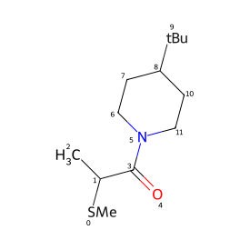 CSC(C)C(=O)N1CCC(C(C)(C)C)CC1